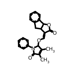 CC1=C(C)C(OC=C2C(=O)OC3c4ccccc4CC23)N(c2ccccc2)C1=O